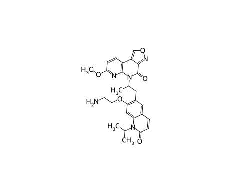 COc1ccc2c3conc3c(=O)n(C(C)Cc3cc4ccc(=O)n(C(C)C)c4cc3OCCN)c2n1